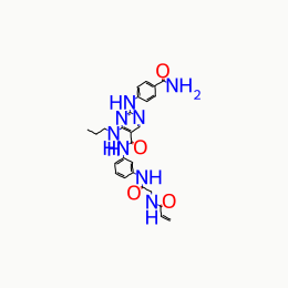 C=CC(=O)NCC(=O)Nc1cccc(NC(=O)c2cnc(Nc3ccc(C(N)=O)cc3)nc2NCCC)c1